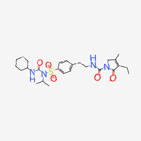 CCC1=C(C)CN(C(=O)NCCc2ccc(S(=O)(=O)N(C(=O)NC3CCCCC3)C(C)C)cc2)C1=O